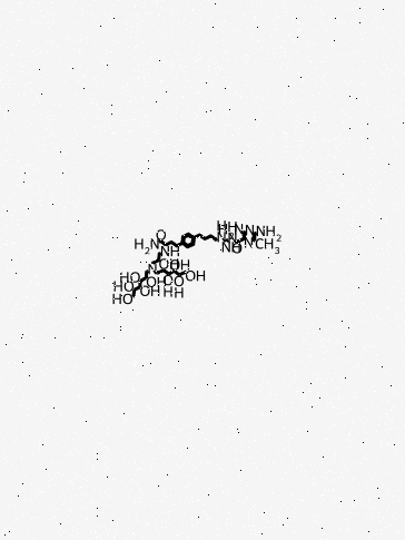 Cc1nc(C(=O)NC(=N)NCCCCc2ccc(CCC(NCCCN(CC(O)C(O)C(O)C(O)CO)CC(O)C(O)C(O)C(O)CO)C(N)=O)cc2)c(N)nc1N